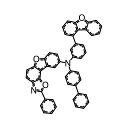 c1ccc(-c2ccc(N(c3cccc(-c4cccc5oc6ccccc6c45)c3)c3ccc4oc5ccc6nc(-c7ccccc7)oc6c5c4c3)cc2)cc1